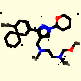 COC1CC=C(c2nn(C3CCCCO3)cc2CN(C)CCN(C)COC(C)(C)C)CC12CCCCC2